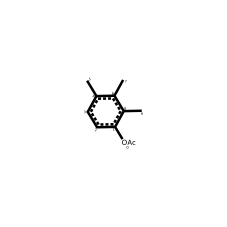 CC(=O)Oc1ccc(C)c(C)c1C